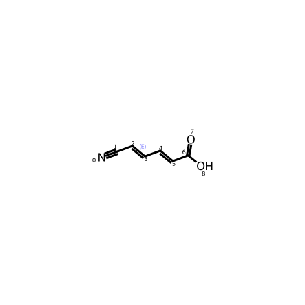 N#C/C=C/C=CC(=O)O